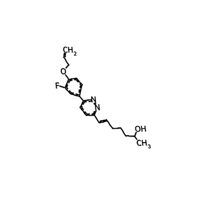 C=CCOc1ccc(-c2ccc(/C=C/CCCC(C)O)nn2)cc1F